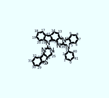 c1ccc(-n2c3ccccc3n3c4ccc5c6ccccc6n(-c6ncc7sc8ccccc8c7n6)c5c4nc23)cc1